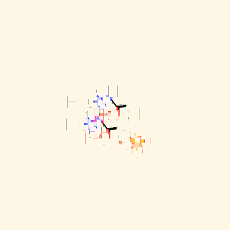 C[N+](C)(C)CC(O)CCl.C[N+](C)(C)CC(O)CCl.O=S(=O)([O-])[O-]